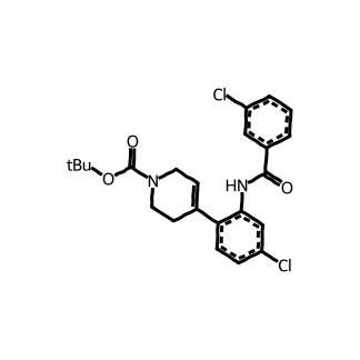 CC(C)(C)OC(=O)N1CC=C(c2ccc(Cl)cc2NC(=O)c2cccc(Cl)c2)CC1